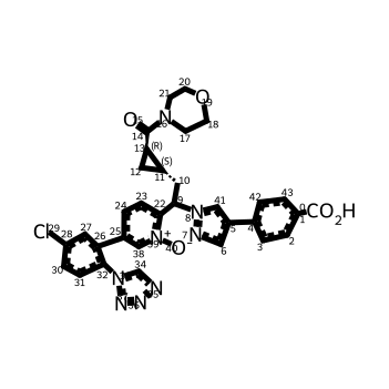 O=C(O)c1ccc(-c2cnn(C(C[C@@H]3C[C@H]3C(=O)N3CCOCC3)c3ccc(-c4cc(Cl)ccc4-n4cnnn4)c[n+]3[O-])c2)cc1